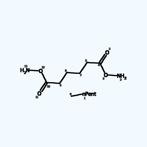 CCCCCC.NOC(=O)CCCCC(=O)ON